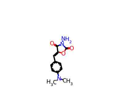 CN(C)c1ccc(/C=C2\OC(=O)N(N)C2=O)cc1